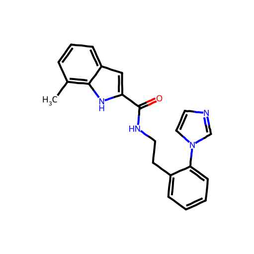 Cc1cccc2cc(C(=O)NCCc3ccccc3-n3ccnc3)[nH]c12